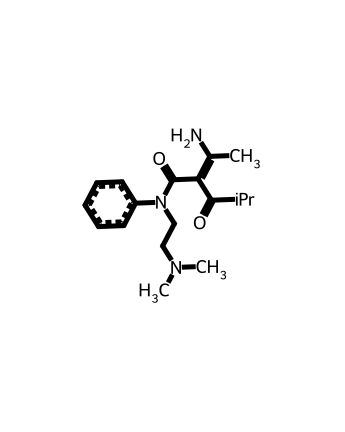 CC(N)=C(C(=O)C(C)C)C(=O)N(CCN(C)C)c1ccccc1